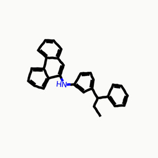 CCC(c1ccccc1)c1cccc(Nc2cc3ccccc3c3ccccc23)c1